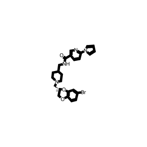 O=C(NCC1CCN(C[C@H]2COc3ccc(Br)cc3O2)CC1)c1ccc(-n2cccc2)nc1